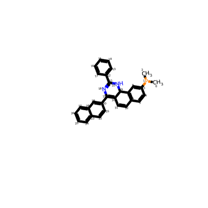 CP(C)c1ccc2c(c1)C1NC(c3ccccc3)=NC(c3ccc4ccccc4c3)=C1C=C2